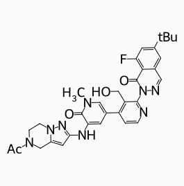 CC(=O)N1CCn2nc(Nc3cc(-c4ccnc(-n5ncc6cc(C(C)(C)C)cc(F)c6c5=O)c4CO)cn(C)c3=O)cc2C1